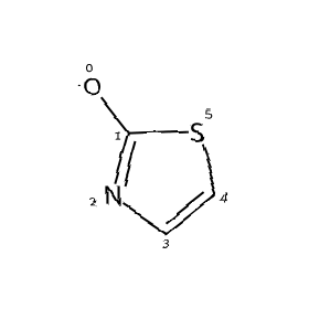 [O]c1nccs1